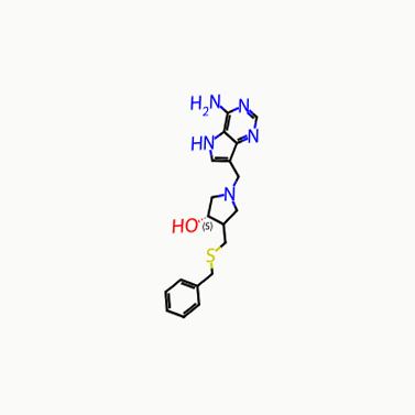 Nc1ncnc2c(CN3CC(CSCc4ccccc4)[C@H](O)C3)c[nH]c12